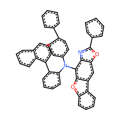 c1ccc(-c2ccc(N(c3ccccc3-c3cccc4ccccc34)c3c4nc(-c5ccccc5)oc4cc4c3oc3ccccc34)cc2)cc1